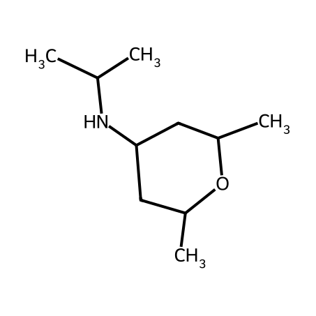 CC(C)NC1CC(C)OC(C)C1